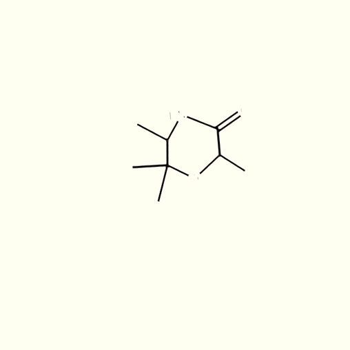 CC1OC(C)(C)C(C)NC1=O